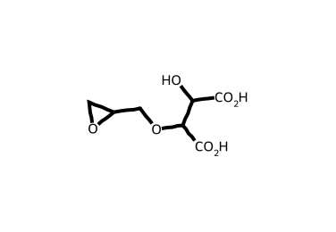 O=C(O)C(O)C(OCC1CO1)C(=O)O